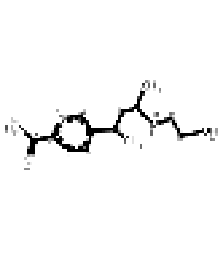 CC(CC(C)c1ccc(C(N)=O)nc1)NCCO